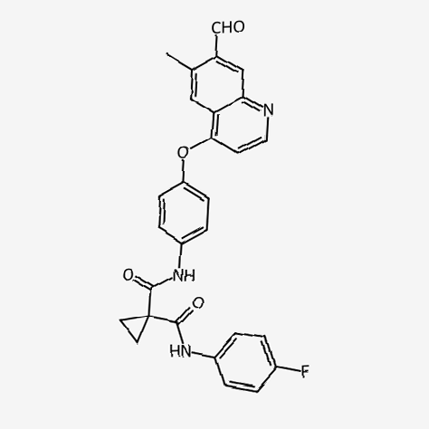 Cc1cc2c(Oc3ccc(NC(=O)C4(C(=O)Nc5ccc(F)cc5)CC4)cc3)ccnc2cc1C=O